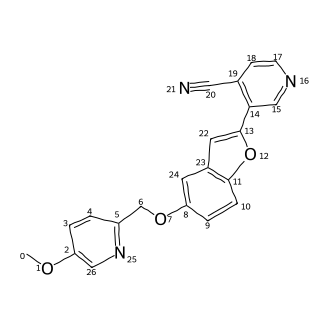 COc1ccc(COc2ccc3oc(-c4cnccc4C#N)cc3c2)nc1